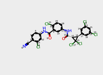 N#Cc1ccc(NC(=O)c2cc(NC(=O)[C@@H]3[C@@H](c4cc(Cl)cc(Cl)c4)C3(Cl)Cl)ccc2Cl)cc1Cl